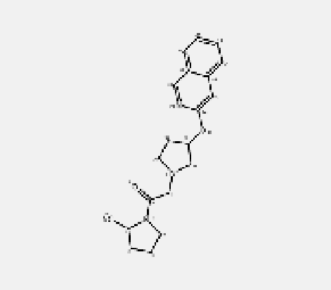 N#CC1CCCN1C(=O)CN1CCC(Oc2cc3ccccc3cn2)C1